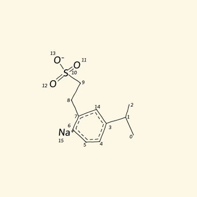 CC(C)c1cccc(CCS(=O)(=O)[O-])c1.[Na+]